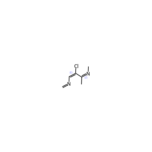 C=N/C=C(Cl)\C(C)=N/C